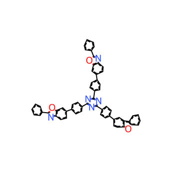 c1ccc(-c2nc3ccc(-c4ccc(-c5nc(-c6ccc(-c7ccc8nc(-c9ccccc9)oc8c7)cc6)nc(-c6ccc(-c7ccc8oc9ccccc9c8c7)cc6)n5)cc4)cc3o2)cc1